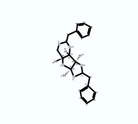 c1ccc(CC2OC[C@H]3O[C@@H]4OC(Cc5ccccc5)O[C@@H]4[C@H]3O2)cc1